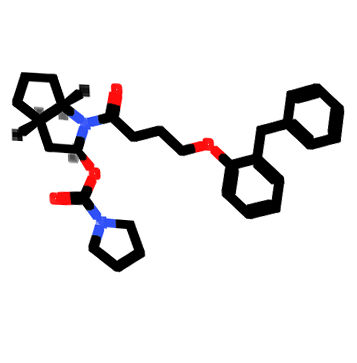 O=C(O[C@H]1C[C@@H]2CCC[C@@H]2N1C(=O)CCCOc1ccccc1Cc1ccccc1)N1CCCC1